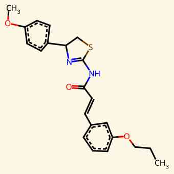 CCCOc1cccc(/C=C/C(=O)NC2=NC(c3ccc(OC)cc3)CS2)c1